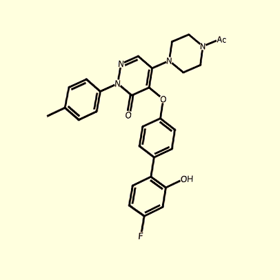 CC(=O)N1CCN(c2cnn(-c3ccc(C)cc3)c(=O)c2Oc2ccc(-c3ccc(F)cc3O)cc2)CC1